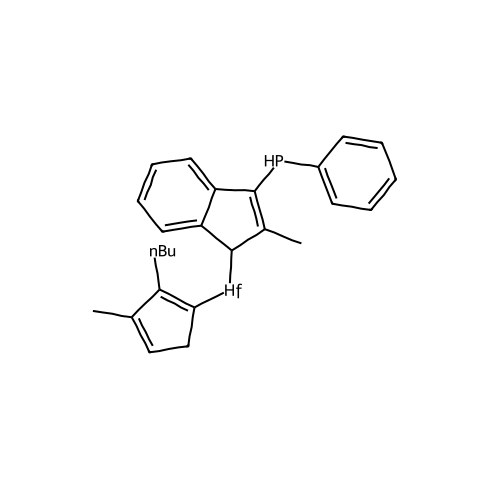 CCCCC1=[C]([Hf][CH]2C(C)=C(Pc3ccccc3)c3ccccc32)CC=C1C